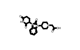 O=C(O)CN1CCC(n2c(=O)n(C3CCC(=O)NC3=O)c3ccccc32)CC1